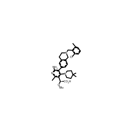 Cc1cccc(Cl)c1CN1CCc2cc(-c3c(N)nc(C)c([C@H](OC(C)(C)C)C(=O)O)c3N3CCC(C)(C)CC3)ccc2C1